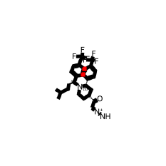 CC(C)CC[C@@H](c1ccc(C(F)(F)F)cc1)N1CC[C@@H](C(=O)C=[N+]=N)C[C@H]1c1ccc(C(F)(F)F)cc1